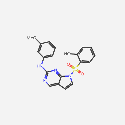 COc1cccc(Nc2ncc3ccn(S(=O)(=O)c4ccccc4C#N)c3n2)c1